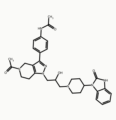 CC(=O)Nc1ccc(-c2nn(CC(O)CN3CCC(n4c(=O)[nH]c5ccccc54)CC3)c3c2CN(C(C)=O)CC3)cc1